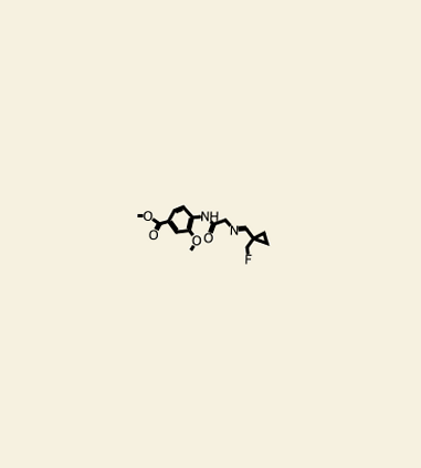 COC(=O)c1ccc(NC(=O)CN=CC2(CF)CC2)c(OC)c1